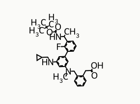 CC(NC(=O)OC(C)(C)C)c1cccc(-c2cc(NCC3CC3)cc(N(C)Cc3ccccc3CC(=O)O)c2)c1F